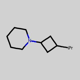 CC(C)C1CC(N2CCCCC2)C1